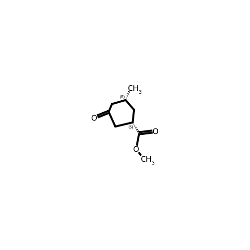 COC(=O)[C@@H]1CC(=O)C[C@H](C)C1